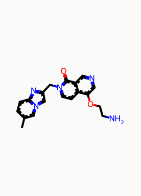 Cc1ccc2nc(Cn3ccc4c(OCCN)cncc4c3=O)cn2c1